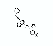 Cc1ccc(C(C)(C)C)cc1-n1nccc1NC(=O)Nc1ccc(C#CCN2CCCCC2)c2ccccc12